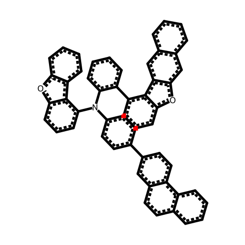 c1ccc(N(c2ccc(-c3ccc4c(ccc5ccccc54)c3)cc2)c2cccc3oc4ccccc4c23)c(-c2cccc3oc4cc5ccccc5cc4c23)c1